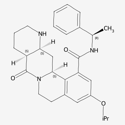 CC(C)Oc1cc2c(c(C(=O)N[C@H](C)c3ccccc3)c1)[C@@H]1C[C@@H]3NCCC[C@@H]3C(=O)N1CC2